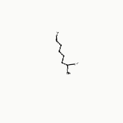 CCCC(CCC)CCCCCBr